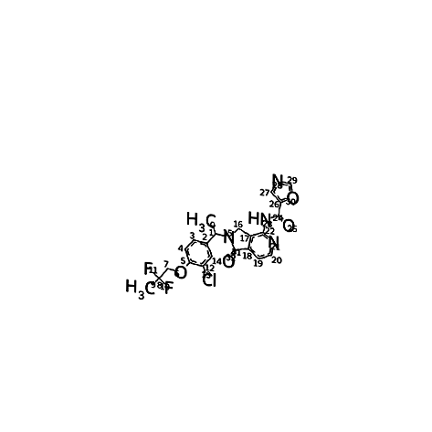 CC(c1ccc(OCC(C)(F)F)c(Cl)c1)N1Cc2c(ccnc2NC(=O)c2cnco2)C1=O